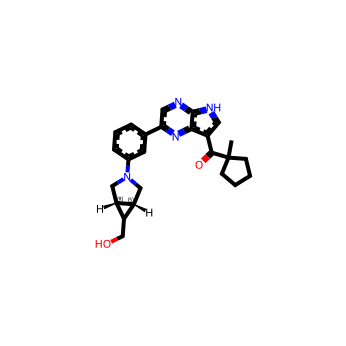 CC1(C(=O)c2c[nH]c3ncc(-c4cccc(N5C[C@@H]6C(CO)[C@@H]6C5)c4)nc23)CCCC1